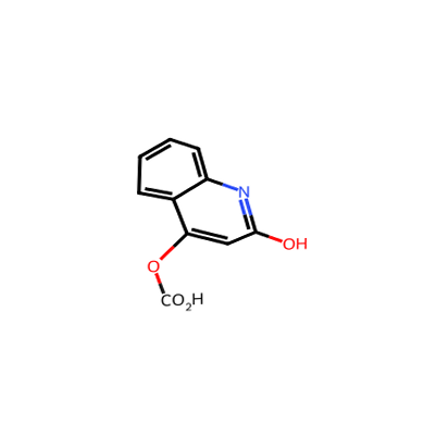 O=C(O)Oc1cc(O)nc2ccccc12